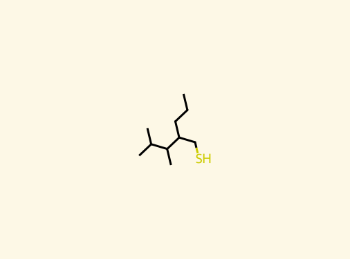 CCCC(CS)C(C)C(C)C